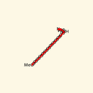 COCCOCCOCCOCCOCCOCCOCCOCCOCCOCCOCCOCCOCCOCCOCCOCCOCCOCCOCCOCCOCCOCCOCCCC(=O)OC1CNC(C(=O)NCc2ccc(-c3scnc3C)cc2)C1